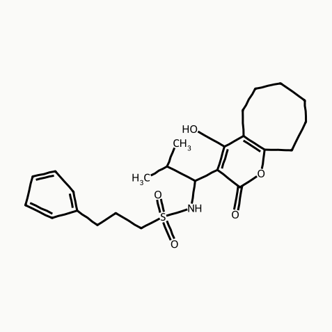 CC(C)C(NS(=O)(=O)CCCc1ccccc1)c1c(O)c2c(oc1=O)CCCCCC2